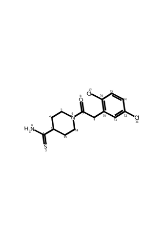 NC(=S)C1CCN(C(=O)Cc2cc(Cl)ccc2Cl)CC1